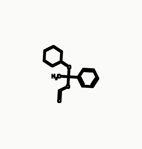 CC(OC=O)(OC1CCCCC1)c1ccccc1